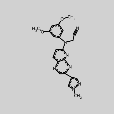 COc1cc(OC)cc(N(CC#N)c2ccc3ncc(-c4cnn(C)c4)nc3n2)c1